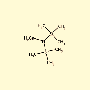 C[Si](C)(C)[N]([GaH2])[Si](C)(C)C